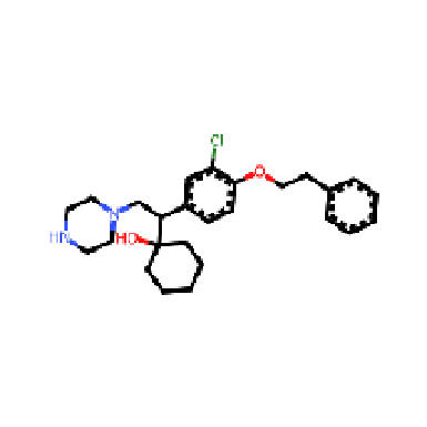 OC1(C(CN2CCNCC2)c2ccc(OCCc3ccccc3)c(Cl)c2)CCCCC1